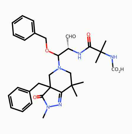 CN1N=C2C(C)(C)CN(C(OCc3ccccc3)[C@H](C=O)NC(=O)C(C)(C)NC(=O)O)CC2(Cc2ccccc2)C1=O